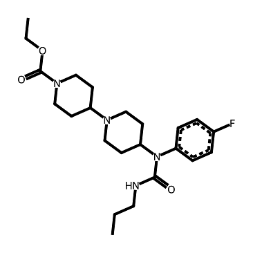 CCCNC(=O)N(c1ccc(F)cc1)C1CCN(C2CCN(C(=O)OCC)CC2)CC1